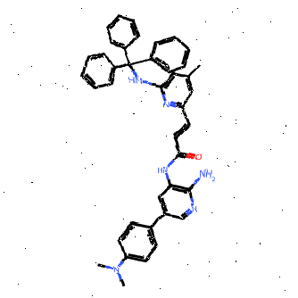 Cc1cc(C=CC(=O)Nc2cc(-c3ccc(N(C)C)cc3)cnc2N)nc(NC(c2ccccc2)(c2ccccc2)c2ccccc2)c1